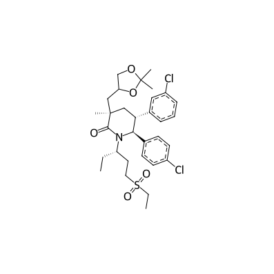 CC[C@@H](CCS(=O)(=O)CC)N1C(=O)[C@@](C)(CC2COC(C)(C)O2)C[C@H](c2cccc(Cl)c2)[C@H]1c1ccc(Cl)cc1